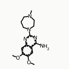 COc1cc2nc(N3CCCN(C)CC3)nc(N)c2cc1OC